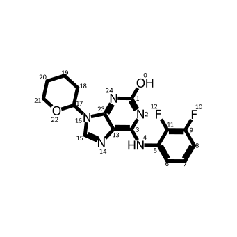 Oc1nc(Nc2cccc(F)c2F)c2ncn(C3CCCCO3)c2n1